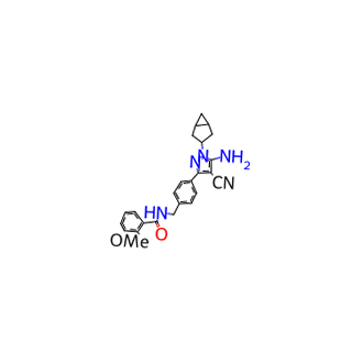 COc1ccccc1C(=O)NCc1ccc(-c2nn(C3CC4CC4C3)c(N)c2C#N)cc1